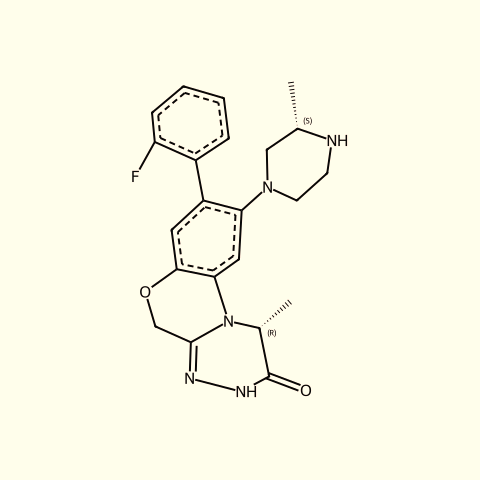 C[C@@H]1C(=O)NN=C2COc3cc(-c4ccccc4F)c(N4CCN[C@@H](C)C4)cc3N21